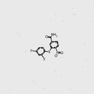 NC(=O)c1ccc([N+](=O)[O-])c(Sc2ccc(F)cc2F)c1